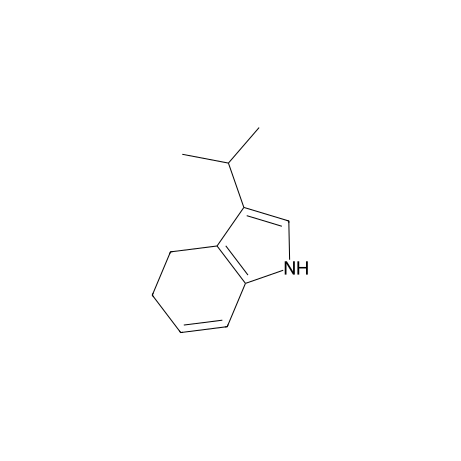 CC(C)c1c[nH]c2c1CCC=C2